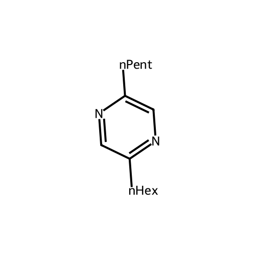 CCCCCCc1cnc(CCCCC)cn1